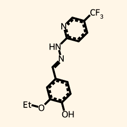 CCOc1cc(C=NNc2ccc(C(F)(F)F)cn2)ccc1O